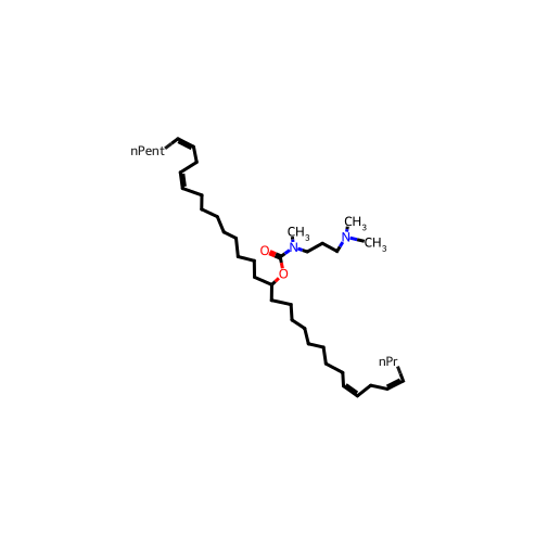 CCC/C=C\C/C=C\CCCCCCCCC(CCCCCCCC/C=C\C/C=C\CCCCC)OC(=O)N(C)CCCN(C)C